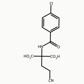 N#CCCC(NC(=O)c1ccc(Cl)cc1)(C(=O)O)C(=O)O